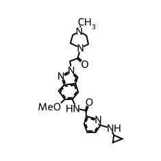 COc1cc2nn(CC(=O)N3CCN(C)CC3)cc2cc1NC(=O)c1cccc(NC2CC2)n1